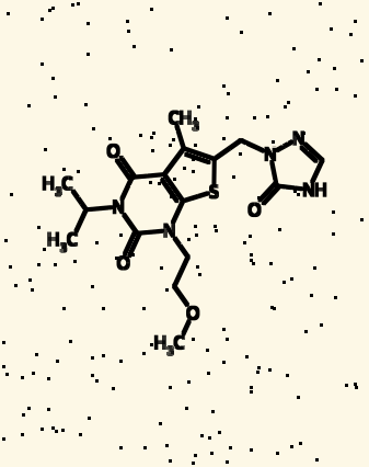 COCCn1c(=O)n(C(C)C)c(=O)c2c(C)c(Cn3nc[nH]c3=O)sc21